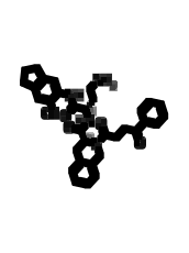 N#Cc1cc2c(cc1NC(=O)[C@H](CCN)NC(=O)[C@@H]1Cc3ccccc3CN1C(=O)CCC(=O)c1ccccc1)CCC2